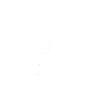 Fc1c(F)c(F)c2oc(CCc3ccccc3)cc2c1F